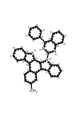 Cc1ccc2c(c1)c1c3ccccc3n(-c3nc(-c4ccccc4)c4ccccc4n3)c1c1sc3ccccc3c21